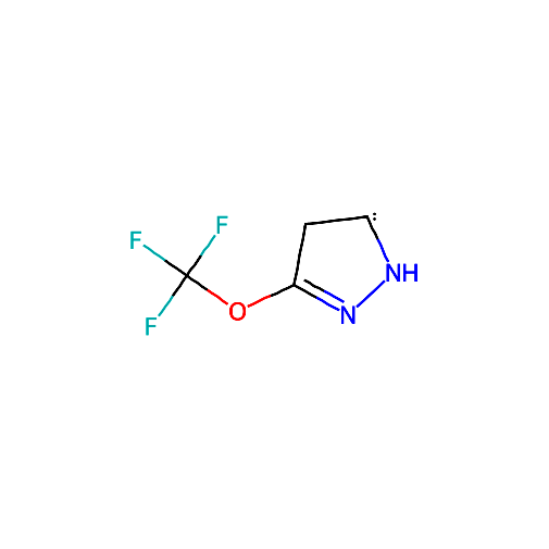 FC(F)(F)OC1=NN[C]C1